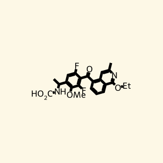 CCOc1nc(C)cc2c(C(=O)c3c(F)cc(C(C)NC(=O)O)c(OC)c3F)cccc12